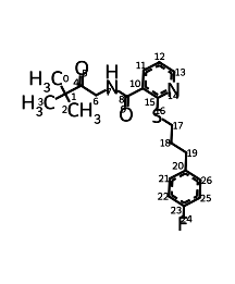 CC(C)(C)C(=O)CNC(=O)c1cccnc1SCCCc1ccc(F)cc1